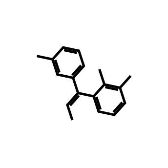 CC=C(c1cccc(C)c1)c1cccc(C)c1C